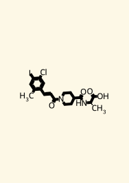 Cc1cc(I)c(Cl)cc1/C=C/C(=O)N1CCC(C(=O)N[C@@H](C)C(=O)O)CC1